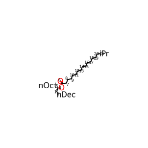 CCCCCCCCCCCC(CCCCCCCC)OC(=O)CCCCCCCCCCCCCCC(C)C